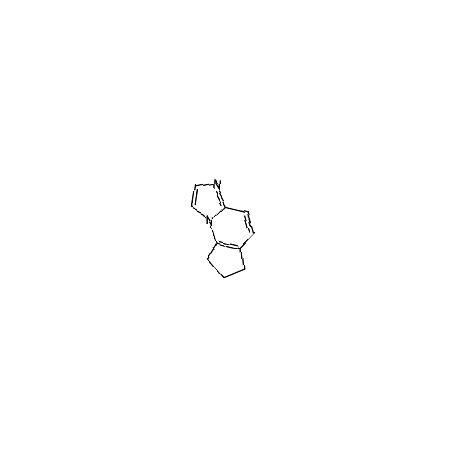 c1cn2c3c(ccc2n1)CCC3